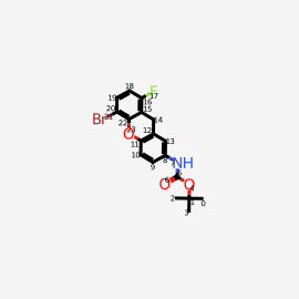 CC(C)(C)OC(=O)Nc1ccc2c(c1)Cc1c(F)ccc(Br)c1O2